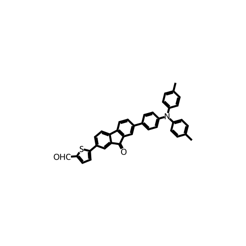 Cc1ccc(N(c2ccc(C)cc2)c2ccc(-c3ccc4c(c3)C(=O)c3cc(-c5ccc(C=O)s5)ccc3-4)cc2)cc1